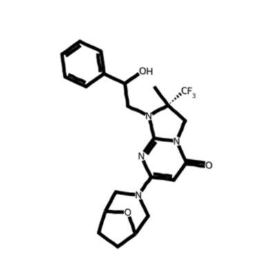 C[C@@]1(C(F)(F)F)Cn2c(nc(N3CC4CCC(C3)O4)cc2=O)N1CC(O)c1ccccc1